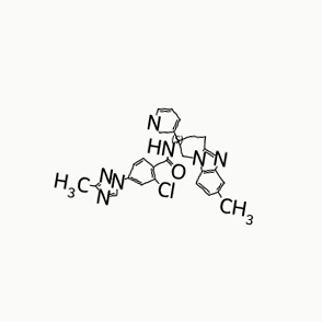 Cc1ccc2c(c1)nc1n2C[C@@](NC(=O)c2ccc(-n3cnc(C)n3)cc2Cl)(c2cccnc2)CC1